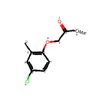 COC(=O)COc1ccc(Cl)cc1C